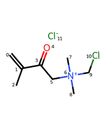 C=C(C)C(=O)C[N+](C)(C)CCl.[Cl-]